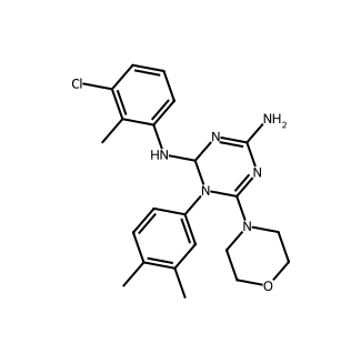 Cc1ccc(N2C(N3CCOCC3)=NC(N)=NC2Nc2cccc(Cl)c2C)cc1C